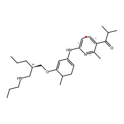 C\C=C(/N=C(C)\C(=C/C)C(=O)C(C)C)NC1=CCC(C)C(OC[C@H](CCC)CNCCC)=C1